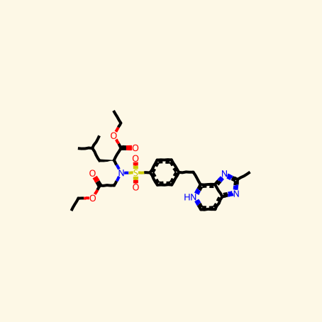 CCOC(=O)CN([C@@H](CC(C)C)C(=O)OCC)S(=O)(=O)c1ccc(Cc2[nH]ccc3nc(C)nc2-3)cc1